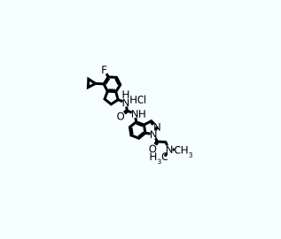 CN(C)CC(=O)n1ncc2c(NC(=O)NC3CCc4c3ccc(F)c4C3CC3)cccc21.Cl